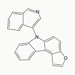 c1ccc2c(-n3c4ccccc4c4c5ccoc5ccc43)cncc2c1